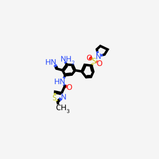 Cc1nc(C(=O)Nc2cc(-c3cccc(S(=O)(=O)N4CCCC4)c3)cc(N)c2C=N)cs1